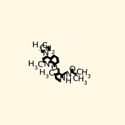 C=CN(/C=C\C)c1cc(C)nc2c(OCc3c(C)ccnc3CNC(=O)C(C)C)cccc12